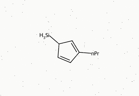 CCCC1=CC([SiH3])C=C1